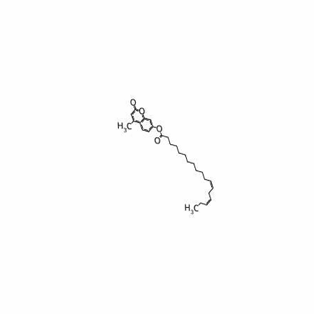 CC/C=C\C/C=C\CCCCCCCCCCC(=O)Oc1ccc2c(C)cc(=O)oc2c1